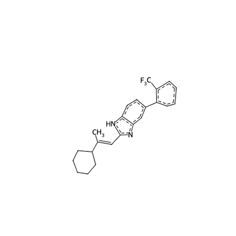 C/C(=C\c1nc2cc(-c3ccccc3C(F)(F)F)ccc2[nH]1)C1CCCCC1